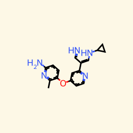 Cc1nc(N)ccc1Oc1ccnc(/C(C=N)=C/NC2CC2)c1